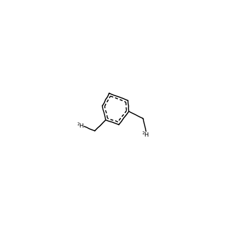 [2H]Cc1cccc(C[2H])c1